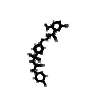 COc1ccc(Cl)cc1C(=O)NCCc1ccc(S(=O)(=O)NC(=O)NC2CCC(C)CC2)cc1